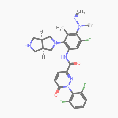 C=NN(c1c(F)cc(NC(=O)c2ccc(=O)n(-c3c(F)cccc3F)n2)c(N2C[C@H]3CNC[C@H]3C2)c1C)C(C)C